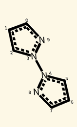 [c]1ccn(-n2cccn2)n1